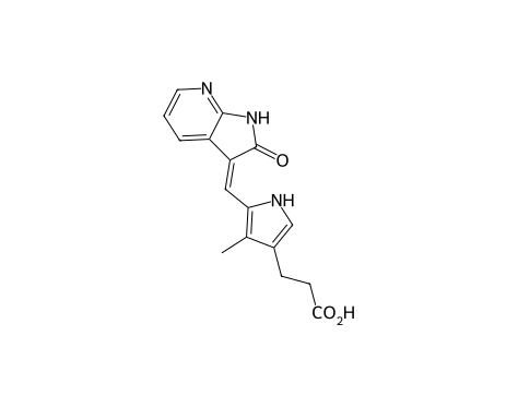 Cc1c(CCC(=O)O)c[nH]c1C=C1C(=O)Nc2ncccc21